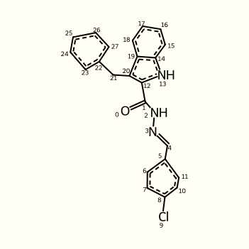 O=C(NN=Cc1ccc(Cl)cc1)c1[nH]c2ccccc2c1Cc1ccccc1